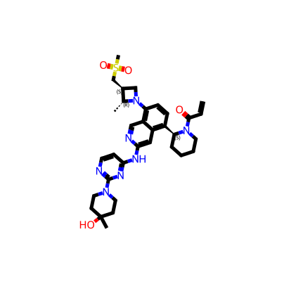 C=CC(=O)N1CCCC[C@H]1c1ccc(N2C[C@H](CS(C)(=O)=O)[C@H]2C)c2cnc(Nc3ccnc(N4CCC(C)(O)CC4)n3)cc12